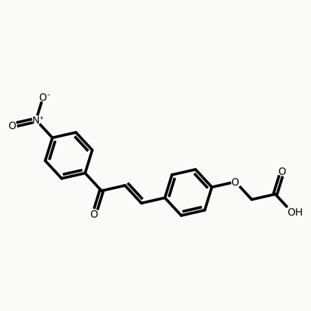 O=C(O)COc1ccc(C=CC(=O)c2ccc([N+](=O)[O-])cc2)cc1